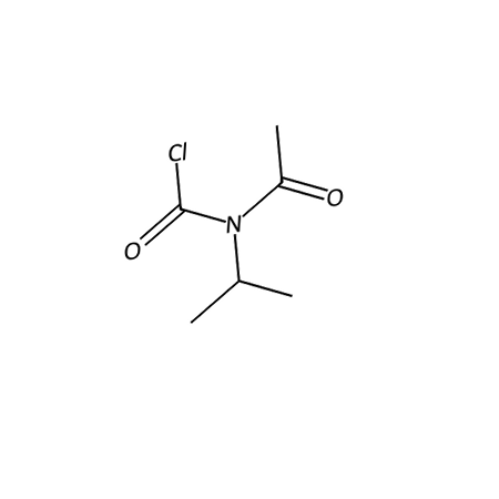 CC(=O)N(C(=O)Cl)C(C)C